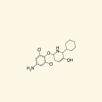 Nc1cc(Cl)c(OC2CC=C(O)C(C3CCCCC3)N2)c(Cl)c1